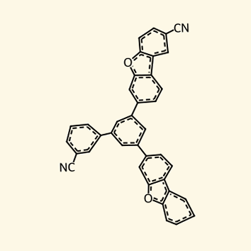 N#Cc1cccc(-c2cc(-c3ccc4c(c3)oc3ccccc34)cc(-c3ccc4c(c3)oc3ccc(C#N)cc34)c2)c1